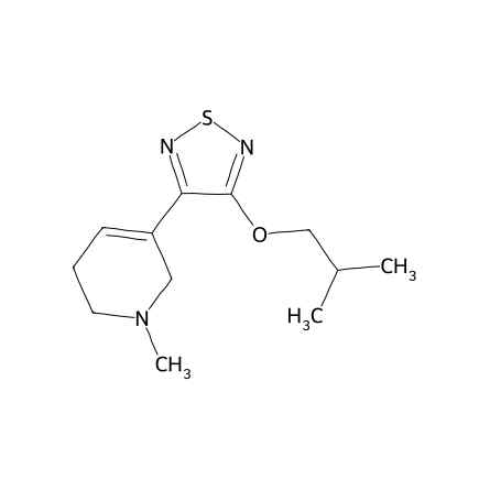 CC(C)COc1nsnc1C1=CCCN(C)C1